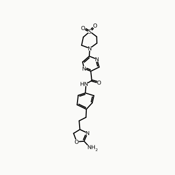 NC1=NC(CCc2ccc(NC(=O)c3cnc(N4CCS(=O)(=O)CC4)cn3)cc2)CO1